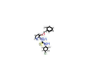 Cc1ccccc1COc1cccnc1NC(=S)Nc1ccc(Cl)cc1